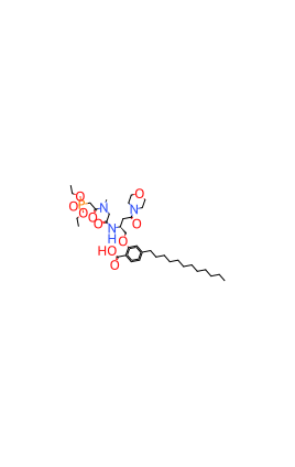 CCCCCCCCCCCCc1ccc(C(=O)O)c(OC[C@H](CC(=O)N2CCOCC2)NC(=O)CN(C)C(=O)CP(=O)(OCC)OCC)c1